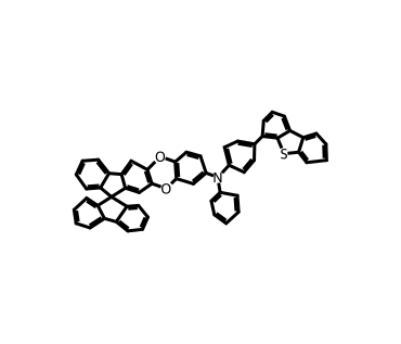 c1ccc(N(c2ccc(-c3cccc4c3sc3ccccc34)cc2)c2ccc3c(c2)Oc2cc4c(cc2O3)-c2ccccc2C42c3ccccc3-c3ccccc32)cc1